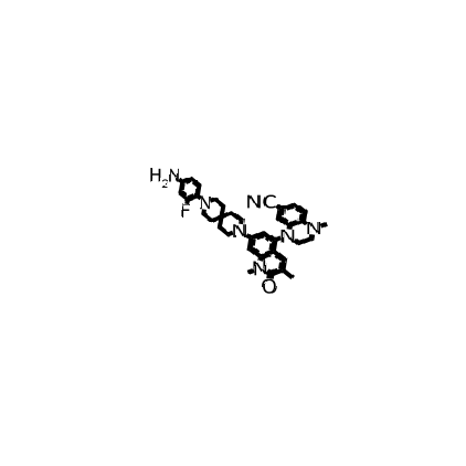 Cc1cc2c(N3CCN(C)c4ccc(C#N)cc43)cc(N3CCC4(CC3)CCN(c3ccc(N)cc3F)CC4)cc2n(C)c1=O